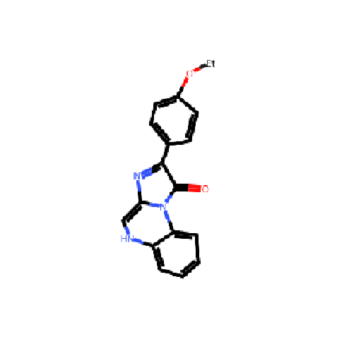 CCOc1ccc(-c2nc3c[nH]c4ccccc4n-3c2=O)cc1